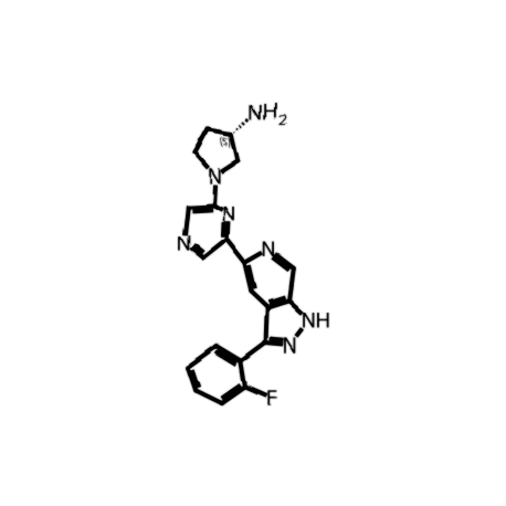 N[C@H]1CCN(c2cncc(-c3cc4c(-c5ccccc5F)n[nH]c4cn3)n2)C1